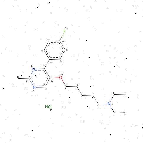 CCN(CC)CCCCCOc1cnc(C)nc1-c1ccc(F)cc1.Cl